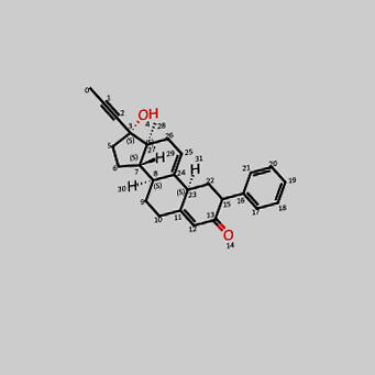 CC#C[C@]1(O)CC[C@H]2[C@@H]3CCC4=CC(=O)C(c5ccccc5)C[C@@H]4C3=CC[C@@]21C